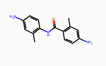 Cc1cc(N)ccc1NC(=O)c1ccc(N)cc1C